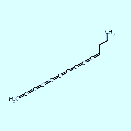 C=C=C=C=C=C=C=C=C=C=CCCC